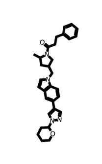 CC1CC(Cn2ccc3cc(-c4cnn(C5CCCCO5)c4)ccc32)CN1C(=O)CCc1ccccc1